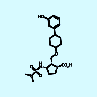 CN(C)S(=O)(=O)N[C@H]1CCN(C(=O)O)[C@H]1COC1CCC(c2cccc(O)c2)CC1